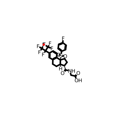 O=C(O)CNC(=O)[C@@H]1CC[C@@]2(S(=O)(=O)c3ccc(F)cc3)c3ccc(C(F)(C(F)(F)F)C(F)(F)F)cc3CC[C@@H]12